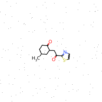 CC1CCC(=O)C(CC(=O)c2nccs2)C1